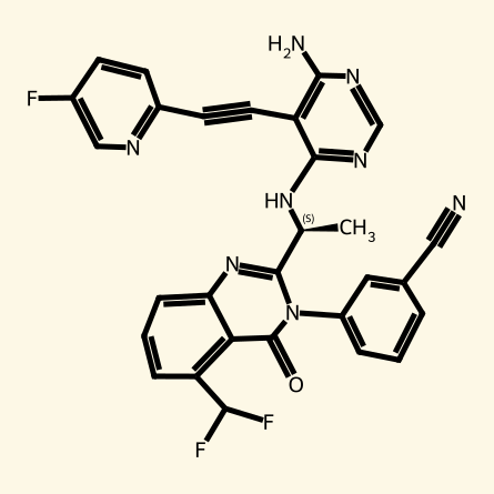 C[C@H](Nc1ncnc(N)c1C#Cc1ccc(F)cn1)c1nc2cccc(C(F)F)c2c(=O)n1-c1cccc(C#N)c1